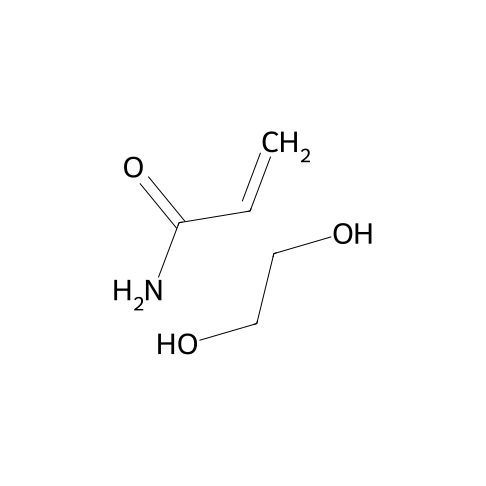 C=CC(N)=O.OCCO